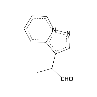 CC(C=O)c1cnn2ccccc12